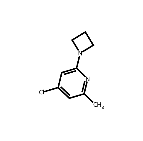 Cc1cc(Cl)cc(N2CCC2)n1